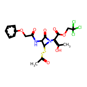 CC(=O)SSC1C(NC(=O)COc2ccccc2)C(=O)N1/C(C(=O)OCC(Cl)(Cl)Cl)=C(/C)O